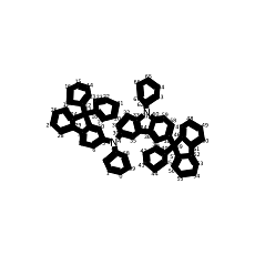 c1ccc(N(c2ccc3c(c2)C(c2ccccc2)(c2ccccc2)c2ccccc2-3)c2ccc3c(c2)c2cc(C4(c5ccccc5)c5ccccc5-c5ccccc54)ccc2n3-c2ccccc2)cc1